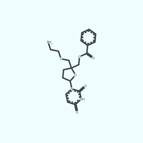 BCCOCC1(COC(=O)c2ccccc2)CCC(n2ccc(=O)[nH]c2=O)O1